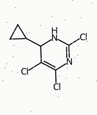 ClC1=NC(Cl)=C(Cl)C(C2CC2)N1